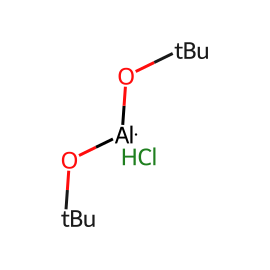 CC(C)(C)[O][Al][O]C(C)(C)C.Cl